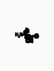 COc1cccc2nc(-n3c(CN)cc4sccc43)nc(NCc3ccccc3)c12